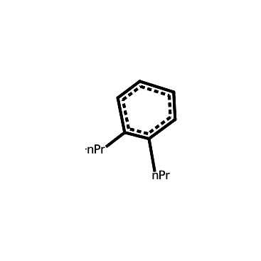 CC[CH]c1ccccc1CCC